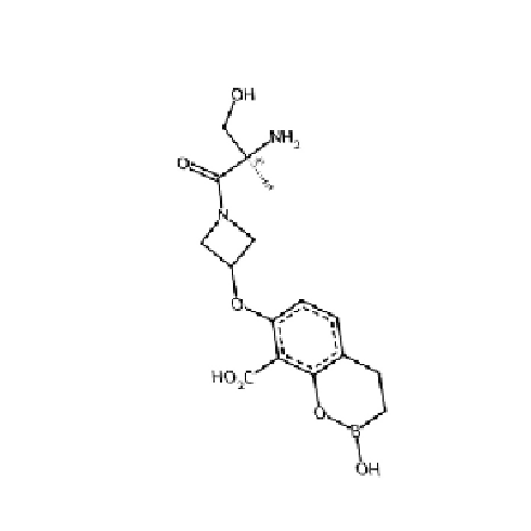 C[C@@](N)(CO)C(=O)N1CC(Oc2ccc3c(c2C(=O)O)OB(O)CC3)C1